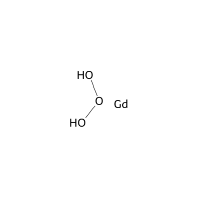 OOO.[Gd]